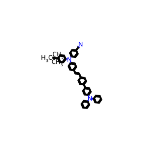 CC(C)(C)c1ccc(N(c2ccc(C#N)cc2)c2ccc(/C=C/c3ccc(-c4ccc(N(c5ccccc5)c5ccccc5)cc4)cc3)cc2)cc1